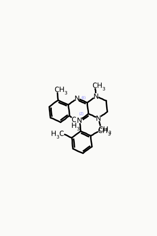 Cc1cccc(C)c1/N=C1/C(=N\c2c(C)cccc2C)N(C)CCN1C